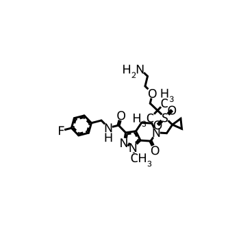 Cn1nc(C(=O)NCc2ccc(F)cc2)c2c1C(=O)N(CC1(S(=O)(=O)C(C)(C)COCCN)CC1)CC2